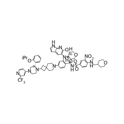 CC(C)Oc1ccccc1[C@H]1CN(c2ccnc(C(F)(F)F)c2)CCN1C1CC2(CCN(c3ccc(C(=O)NS(=O)(=O)c4ccc(NCC5CCOCC5)c([N+](=O)[O-])c4)c(N4c5cc6cc[nH]c6nc5O[C@H]5COCC[C@@H]54)c3)CC2)C1